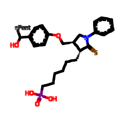 CCCCCC(O)c1ccc(OC[C@H]2CN(c3ccccc3)C(=S)[C@@H]2CCCCCCP(=O)(O)O)cc1